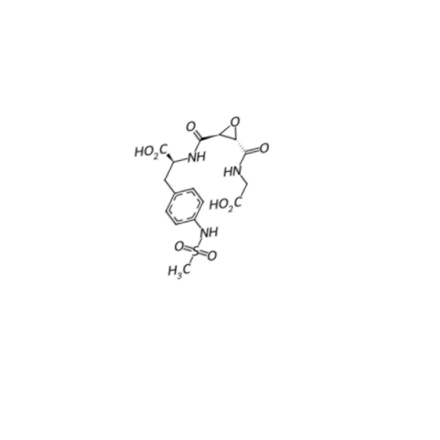 CS(=O)(=O)Nc1ccc(C[C@H](NC(=O)[C@H]2O[C@@H]2C(=O)NCC(=O)O)C(=O)O)cc1